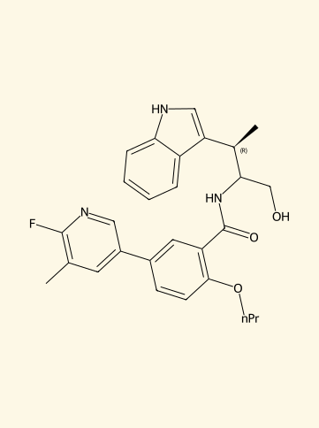 CCCOc1ccc(-c2cnc(F)c(C)c2)cc1C(=O)NC(CO)[C@H](C)c1c[nH]c2ccccc12